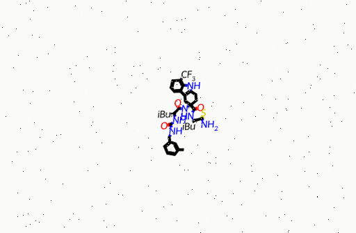 CCC(C)[C@H](NC(=O)NCc1cccc(C)c1)C(=O)N[C@]1(C(=O)N[C@H](C(N)=S)C(C)CC)CCc2[nH]c3c(C(F)(F)F)cccc3c2C1